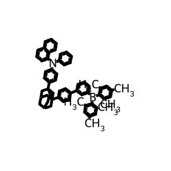 Cc1cc(C)c(B(c2cccc(-c3ccc(C45CC6CC(C4)CC(c4ccc(N(c7ccccc7)c7cccc8ccccc78)cc4)(C6)C5)cc3)c2)c2c(C)cc(C)cc2C)c(C)c1